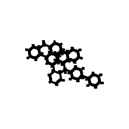 C1=CC(c2cc3c4c(cccc4c2)Oc2ccccc2-3)C(N(c2ccc(-c3ccccc3)cc2)c2cccc3ccccc23)C=C1